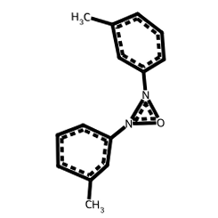 Cc1cccc(-n2on2-c2cccc(C)c2)c1